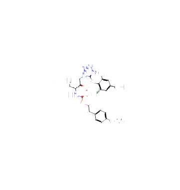 COc1ccc(CCOC(=O)NC(CC(=O)O)C(=O)Cn2nnnc2Sc2c(Cl)cc(C)cc2Cl)cc1